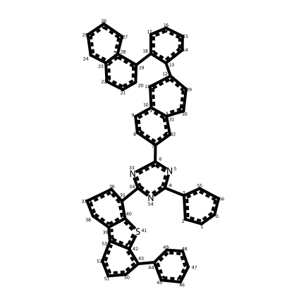 c1ccc(-c2nc(-c3ccc4cc(-c5ccccc5-c5cccc6ccccc56)ccc4c3)nc(-c3cccc4c3sc3c(-c5ccccc5)cccc34)n2)cc1